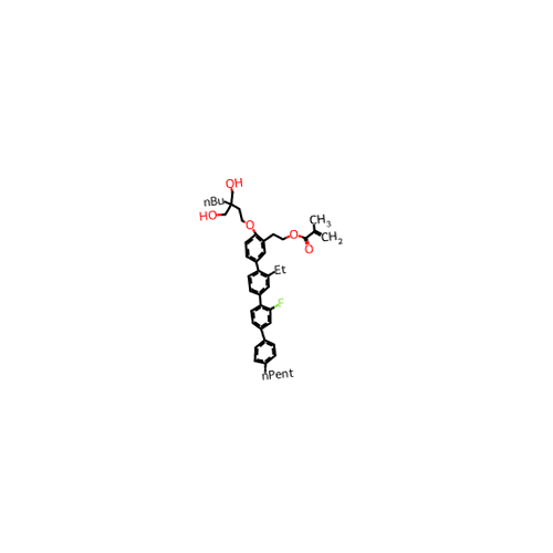 C=C(C)C(=O)OCCc1cc(-c2ccc(-c3ccc(-c4ccc(CCCCC)cc4)cc3F)cc2CC)ccc1OCCC(CO)(CO)CCCC